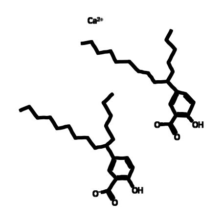 CCCCCCCCCC(CCCCC)c1ccc(O)c(C(=O)[O-])c1.CCCCCCCCCC(CCCCC)c1ccc(O)c(C(=O)[O-])c1.[Ca+2]